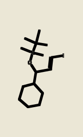 CC(C)(C)[Si](C)(C)OC(C=CI)C1CCCCC1